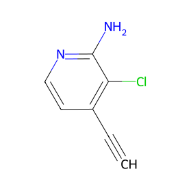 C#Cc1ccnc(N)c1Cl